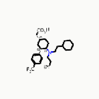 CC(C)CCN(CCC1CCCCC1)[C@@H]1CC[C@@H](CC(=O)O)C[C@H]1c1ccc(C(F)(F)F)cc1